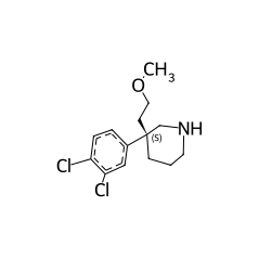 COCC[C@]1(c2ccc(Cl)c(Cl)c2)CCCNC1